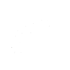 CCc1ccc(-c2cccc3c2C=C(CC2(CC)CCCCC2)[CH]3[Zr])cc1